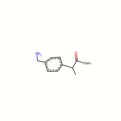 COC(=O)C(C)c1ccc(CN)cc1